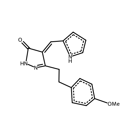 COc1ccc(CCC2=NNC(=O)C2=Cc2ccc[nH]2)cc1